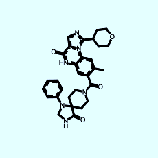 Cc1cc2c(cc1C(=O)N1CCC3(CC1)C(=O)NCN3c1ccccc1)[nH]c(=O)c1cnc(C3CCOCC3)n12